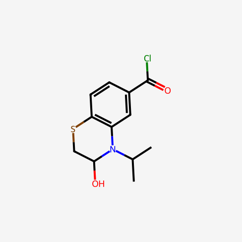 CC(C)N1c2cc(C(=O)Cl)ccc2SCC1O